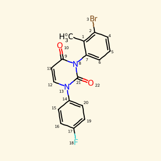 Cc1c(Br)cccc1-n1c(=O)ccn(-c2ccc(F)cc2)c1=O